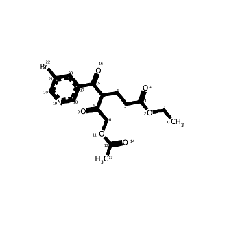 CCOC(=O)CCC(C(=O)COC(C)=O)C(=O)c1cncc(Br)c1